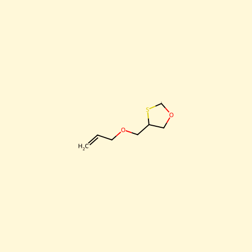 C=CCOCC1CO[CH]S1